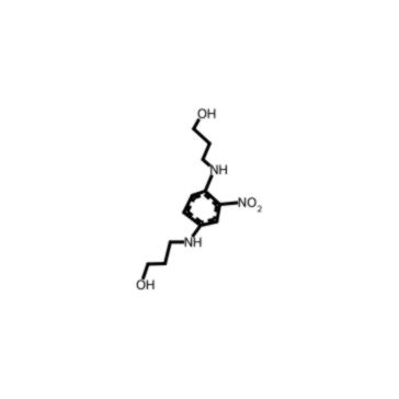 O=[N+]([O-])c1cc(NCCCO)ccc1NCCCO